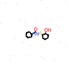 O=C(NSc1ccccc1O)c1ccccc1